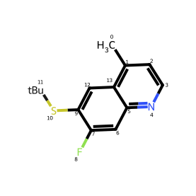 Cc1ccnc2cc(F)c(SC(C)(C)C)cc12